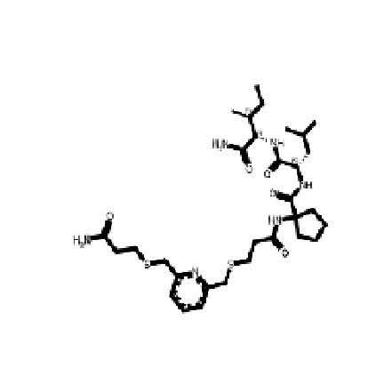 CC[C@H](C)[C@H](NC(=O)[C@H](CC(C)C)NC(=O)C1(NC(=O)CCSCc2cccc(CSCCC(N)=O)n2)CCCC1)C(N)=O